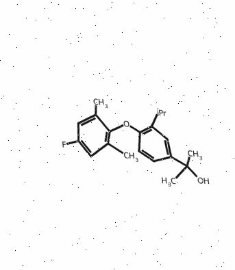 Cc1cc(F)cc(C)c1Oc1ccc(C(C)(C)O)cc1C(C)C